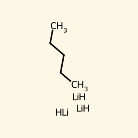 CCCCC.[LiH].[LiH].[LiH]